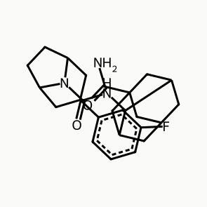 NC(=O)C12CC3CC(C1)C(NC(=O)N1C4CCC1CC(c1cccc(F)c1)C4)C(C3)C2